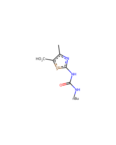 CCCCNC(=O)Nc1nc(C)c(C(=O)O)s1